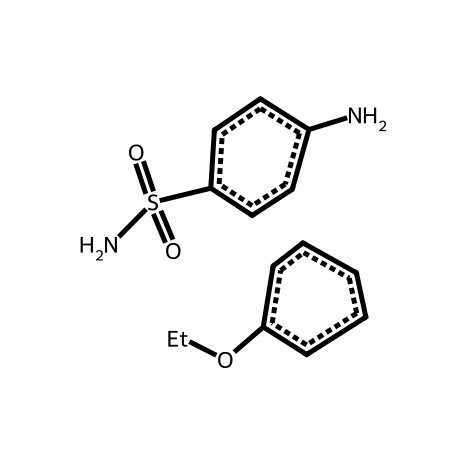 CCOc1ccccc1.Nc1ccc(S(N)(=O)=O)cc1